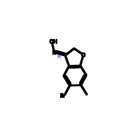 Cc1cc2c(cc1Br)/C(=N/O)CO2